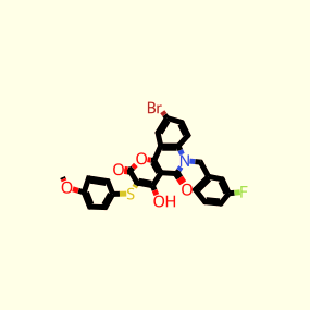 COc1ccc(Sc2c(O)c3c(=O)n(Cc4cccc(F)c4)c4ccc(Br)cc4c3oc2=O)cc1